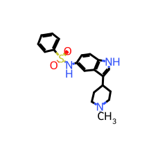 CN1CCC(c2c[nH]c3ccc(NS(=O)(=O)c4ccccc4)cc23)CC1